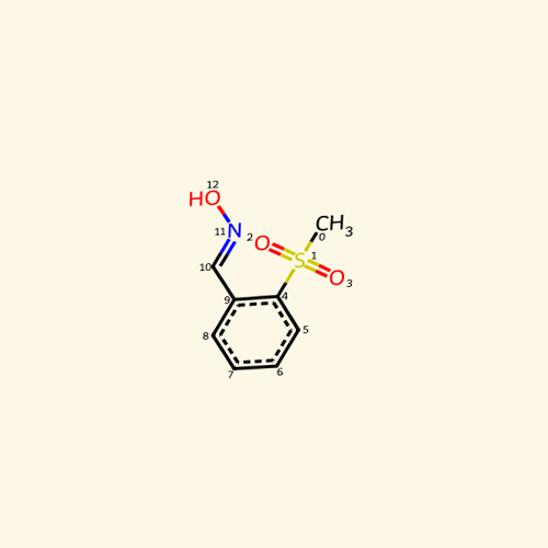 CS(=O)(=O)c1ccccc1/C=N/O